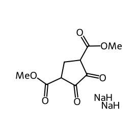 COC(=O)C1CC(C(=O)OC)C(=O)C1=O.[NaH].[NaH]